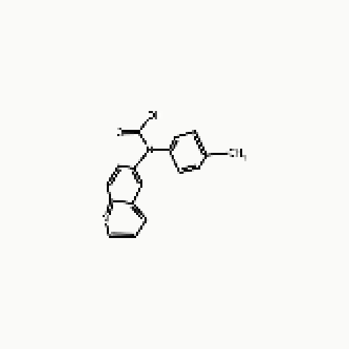 Cc1ccc(N(C(=O)O)c2ccc3ncccc3c2)cc1